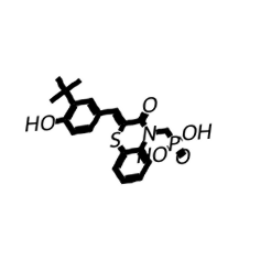 CC(C)(C)c1cc(C=C2Sc3ccccc3N(CP(=O)(O)O)C2=O)ccc1O